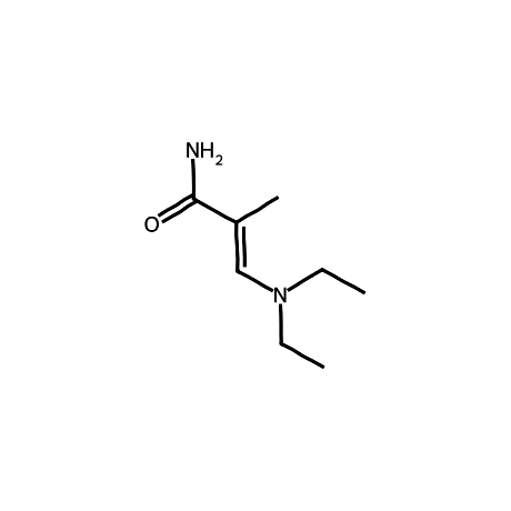 CCN(/C=C(\C)C(N)=O)CC